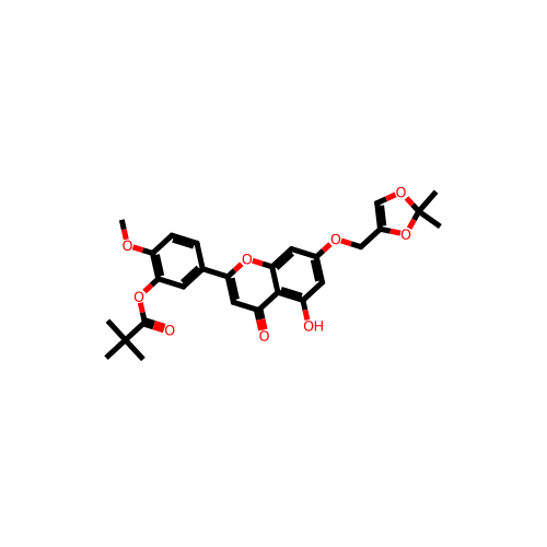 COc1ccc(-c2cc(=O)c3c(O)cc(OCC4=COC(C)(C)O4)cc3o2)cc1OC(=O)C(C)(C)C